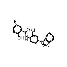 O=C(Nc1ccc(-n2nnc3ccccc32)cc1Cl)c1cc(Br)ccc1O